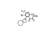 Cc1nc(C)c(C(=O)C(=O)OC(C)C)c(N2CCC3(CCCCCC3)C2)c1Br